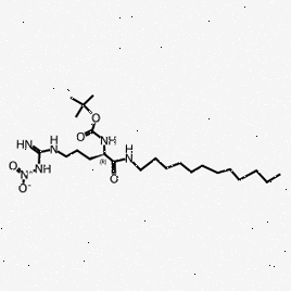 CCCCCCCCCCCCNC(=O)[C@@H](CCCNC(=N)N[N+](=O)[O-])NC(=O)OC(C)(C)C